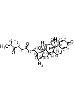 CC(C)C(=O)CCC(=O)OCC(=O)[C@@]1(O)[C@H](C)C[C@H]2[C@@H]3CCC4=CC(=O)C=C[C@]4(C)[C@@]3(F)[C@@H](O)C[C@@]21C